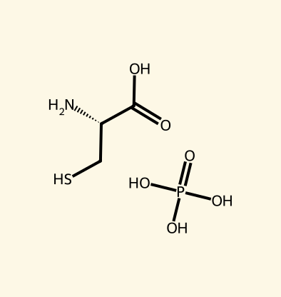 N[C@@H](CS)C(=O)O.O=P(O)(O)O